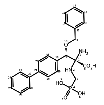 N[C@@](NCP(=O)(O)O)(C(=O)O)[C@@H](OCc1ccccc1)c1ccc(-c2ccccc2)cc1